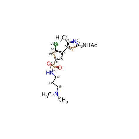 CC(=O)Nc1nc(C)c(-c2cc(S(=O)(=O)NCCCN(C)C)sc2Br)s1